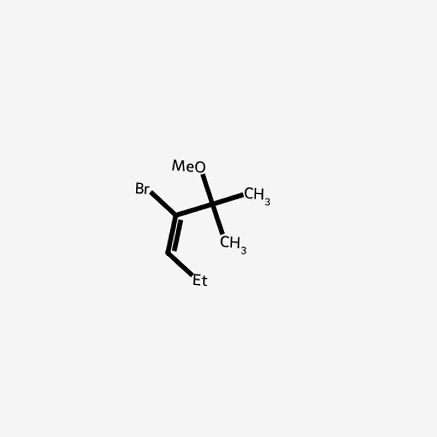 CC/C=C(/Br)C(C)(C)OC